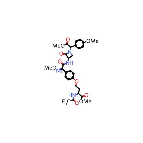 CO/N=C(\C(=O)NC1CN(C(C(=O)OC)c2ccc(OC)cc2)C1=O)c1ccc(OCCC(NC(=O)C(F)(F)F)C(=O)OC)cc1